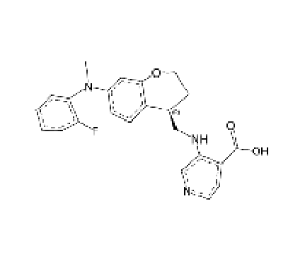 CN(c1ccc2c(c1)OCC[C@H]2CNc1cnccc1C(=O)O)c1ccccc1F